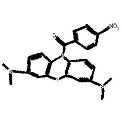 CN(C)c1ccc2c(c1)Sc1cc(N(C)C)ccc1N2C(=O)c1ccc([N+](=O)[O-])cc1